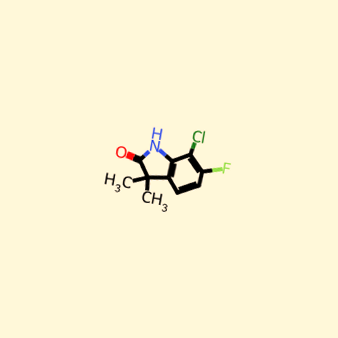 CC1(C)C(=O)Nc2c1ccc(F)c2Cl